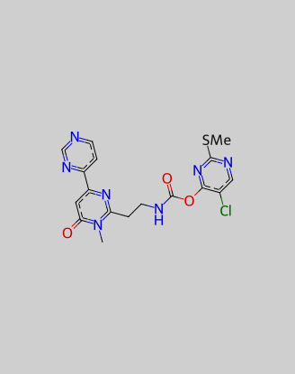 CSc1ncc(Cl)c(OC(=O)NCCc2nc(-c3ccncn3)cc(=O)n2C)n1